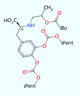 CCCC(C)OC(=O)Oc1ccc(C[C@H](NCC(C)OC(=O)C(C)CC)C(=O)O)cc1OC(=O)OC(C)CCC